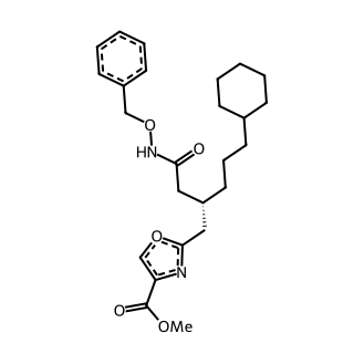 COC(=O)c1coc(C[C@@H](CCCC2CCCCC2)CC(=O)NOCc2ccccc2)n1